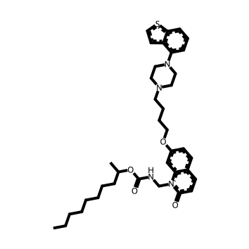 CCCCCCCCC(C)OC(=O)NCn1c(=O)ccc2ccc(OCCCCN3CCN(c4cccc5sccc45)CC3)cc21